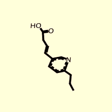 CCCc1ccc(/C=C/CC(=O)O)cn1